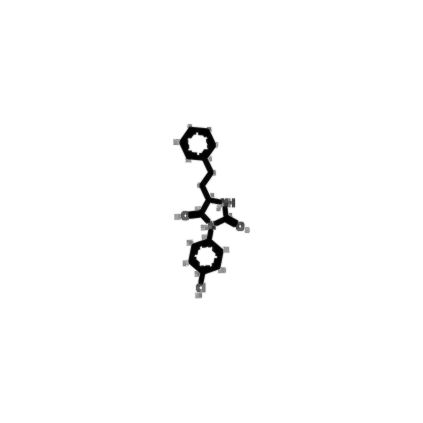 O=C1NC(CCc2ccccc2)C(=O)N1c1ccc(Cl)cc1